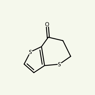 O=C1CCSc2ccsc21